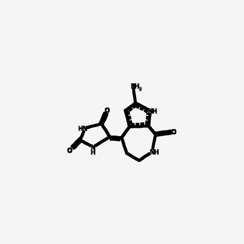 Bc1cc2c([nH]1)C(=O)NCC/C2=C1\NC(=O)NC1=O